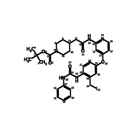 CC(C)(C)OC(=O)N1CCC(CC(=O)Nc2cc(Oc3ccc(NC(=O)Nc4ccccc4)c(CI)c3)ccn2)CC1